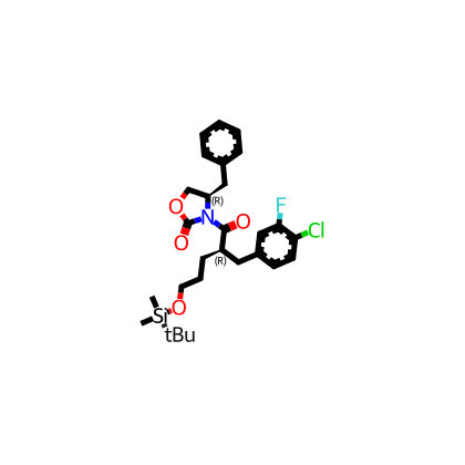 CC(C)(C)[Si](C)(C)OCCC[C@H](Cc1ccc(Cl)c(F)c1)C(=O)N1C(=O)OC[C@H]1Cc1ccccc1